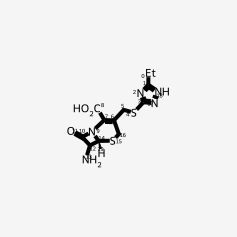 CCc1nc(SCC2=C(C(=O)O)N3C(=O)C(N)[C@H]3SC2)n[nH]1